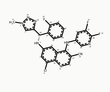 Cn1cc([C@@H](Nc2cc(Cl)c3ncc(C#N)c(Nc4cnc(F)c(F)c4)c3c2)c2ccccc2F)nn1